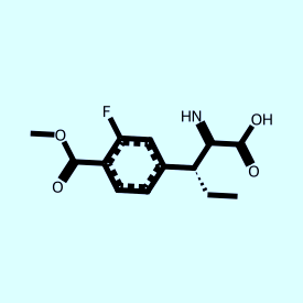 CC[C@@H](C(=N)C(=O)O)c1ccc(C(=O)OC)c(F)c1